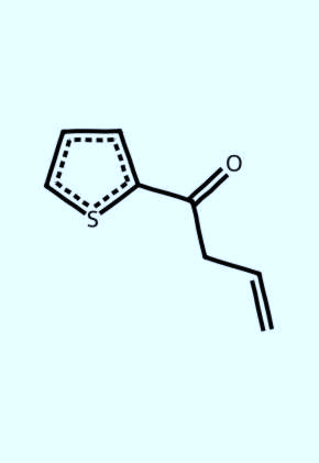 C=CCC(=O)c1cccs1